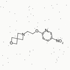 O=[N+]([O-])c1ccc(OCCN2CC3(COC3)C2)nc1